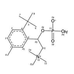 Cc1ccc(C(C)(C)C)c(C(C[N+](C)(C)C)OP(=O)([O-])O)c1